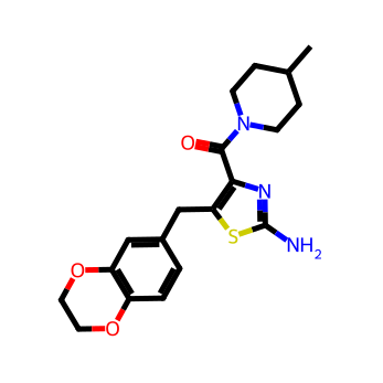 CC1CCN(C(=O)c2nc(N)sc2Cc2ccc3c(c2)OCCO3)CC1